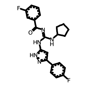 O=C(/N=C(\Nc1cc(-c2ccc(F)cc2)n[nH]1)NC1CCCC1)c1cccc(F)c1